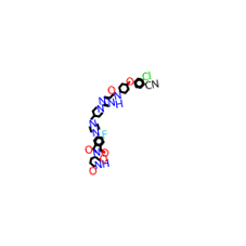 N#Cc1ccc(OC2CCC(NC(=O)c3cnc(N4CCC(CN5CCN(c6cc7c(cc6F)C(=O)N(C6CCC(=O)NC6=O)C7=O)CC5)CC4)cn3)CC2)cc1Cl